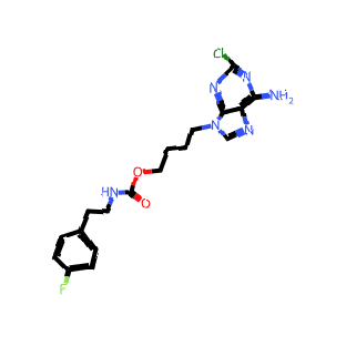 Nc1nc(Cl)nc2c1ncn2CCCCOC(=O)NCCc1ccc(F)cc1